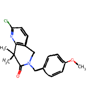 COc1ccc(CN2Cc3ccc(Cl)nc3C(C)(C)C2=O)cc1